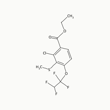 CCOC(=O)c1ccc(OC(F)(F)C(F)F)c(SC)c1Cl